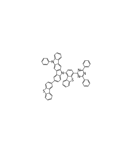 c1ccc(-c2nc(-c3ccccc3)nc(-c3ccc(-n4c5ccc(-c6ccc7sc8ccccc8c7c6)cc5c5cc6c(cc54)c4ccccc4n6-c4ccccc4)c4c3sc3ccccc34)n2)cc1